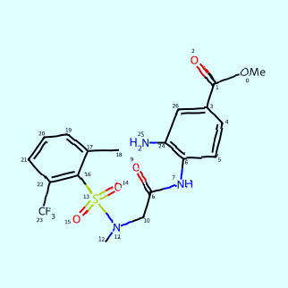 COC(=O)c1ccc(NC(=O)CN(C)S(=O)(=O)c2c(C)cccc2C(F)(F)F)c(N)c1